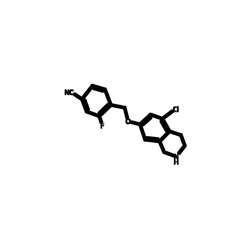 N#Cc1ccc(COc2cc(Cl)c3c(c2)CNCC3)c(F)c1